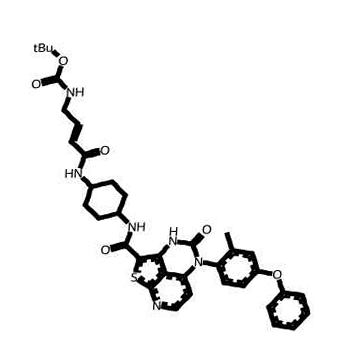 Cc1cc(Oc2ccccc2)ccc1N1C(=O)Nc2c(C(=O)NC3CCC(NC(=O)/C=C/CNC(=O)OC(C)(C)C)CC3)sc3nccc1c23